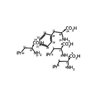 CC(C)C[C@H](N)C(=O)O.CC(C)C[C@H](N)C(=O)O.CC(C)C[C@H](N)C(=O)O.N[C@@H](Cc1ccccc1)C(=O)O